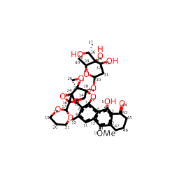 COc1c2c(c(O)c3c4c(c(C)cc13)C1C3OC5(C6OCCCO6)OC15[C@]1(CO1)[C@]3(OC1CC(O)C(O)([C@@H](C)O)C(C)O1)O4)C(=O)CCC2